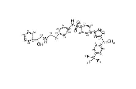 C[C@H](c1ccc(C(F)(F)F)cc1)c1nc(-c2ccc(S(=O)(=O)Nc3ccc(CCNCC(O)c4cccnc4)cc3)cc2)no1